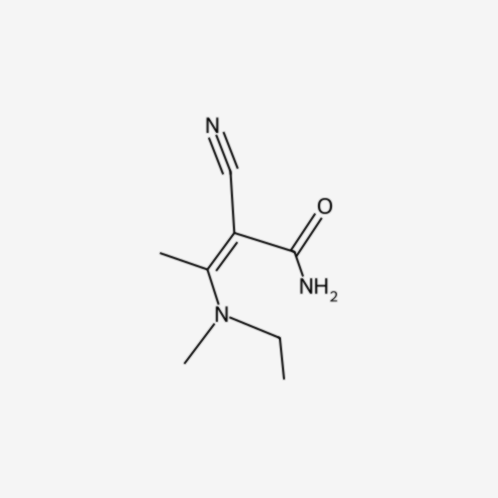 CCN(C)/C(C)=C(/C#N)C(N)=O